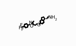 Cc1nc(-c2ccc(C(F)(F)F)cc2)oc1CCOc1ccc2c(c1)CC[C@H]2CCN